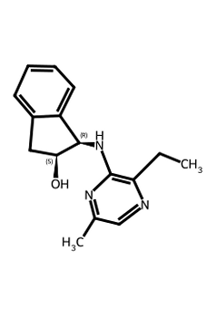 CCc1ncc(C)nc1N[C@@H]1c2ccccc2C[C@@H]1O